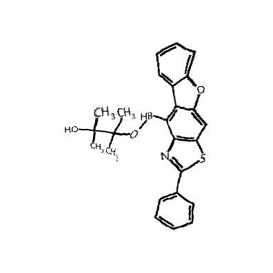 CC(C)(O)C(C)(C)OBc1c2nc(-c3ccccc3)sc2cc2oc3ccccc3c12